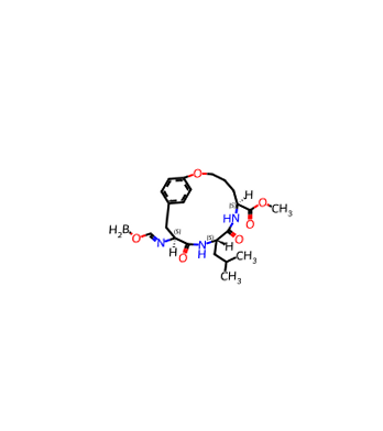 BOC=N[C@H]1Cc2ccc(cc2)OCCC[C@@H](C(=O)OC)NC(=O)[C@H](CC(C)C)NC1=O